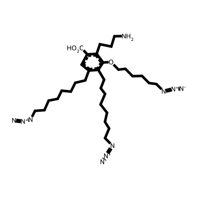 [N-]=[N+]=NCCCCCCCCc1cc(C(=O)O)c(CCCN)c(OCCCCCCN=[N+]=[N-])c1CCCCCCCCN=[N+]=[N-]